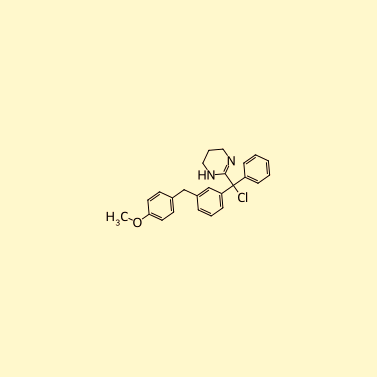 COc1ccc(Cc2cccc(C(Cl)(C3=NCCCN3)c3ccccc3)c2)cc1